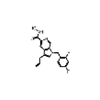 C=CCc1cn(Cc2ccc(F)cc2F)c2cnc(C(=O)NO)cc12